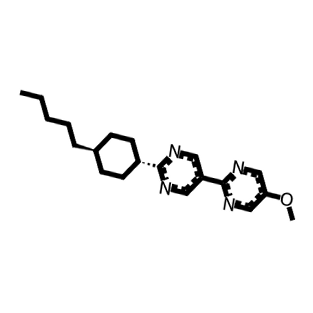 CCCCC[C@H]1CC[C@H](c2ncc(-c3ncc(OC)cn3)cn2)CC1